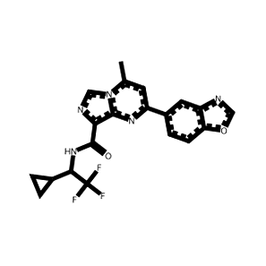 Cc1cc(-c2ccc3ocnc3c2)nc2c(C(=O)NC(C3CC3)C(F)(F)F)ncn12